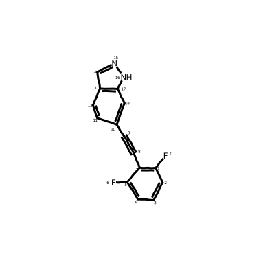 Fc1cccc(F)c1C#Cc1ccc2cn[nH]c2c1